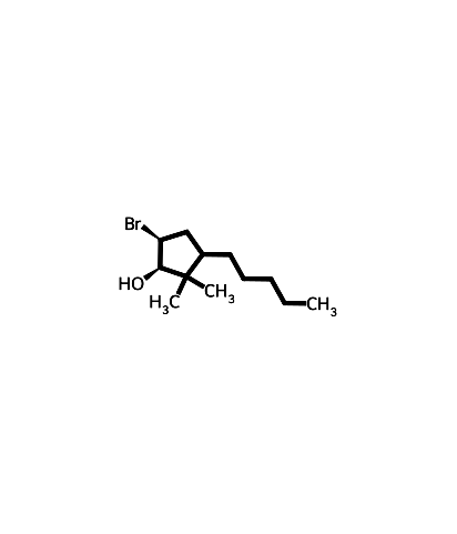 CCCCCC1C[C@H](Br)[C@H](O)C1(C)C